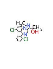 Cc1nc(C(C)O)c2n1-c1ccc(Cl)cc1C(c1ccccc1Cl)=NC2